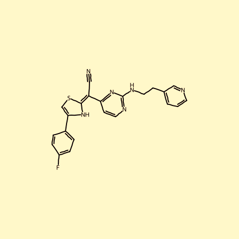 N#C/C(=C1/NC(c2ccc(F)cc2)=CS1)c1ccnc(NCCc2cccnc2)n1